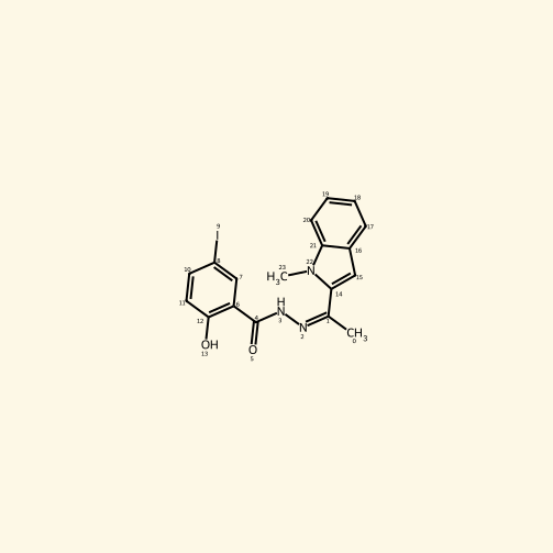 C/C(=N/NC(=O)c1cc(I)ccc1O)c1cc2ccccc2n1C